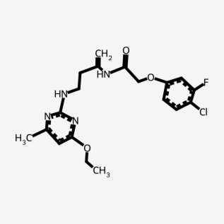 C=C(CCNc1nc(C)cc(OCC)n1)NC(=O)COc1ccc(Cl)c(F)c1